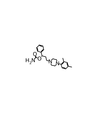 Cc1ccc(N2CCN(CCC(OC(N)=O)c3ccccc3)CC2)c(C)c1